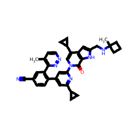 Cc1ccnnc1-c1cc(C#N)ccc1-c1cc(C2CC2)nc(-n2cc(C3CC3)c3cc(CNC4(C)CCC4)[nH]c3c2=O)c1